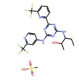 CCC(Nc1nc(Nc2ccnc(C(F)(F)F)c2)nc(-c2cccc(C(F)(F)F)n2)n1)C(C)O.CS(=O)(=O)O